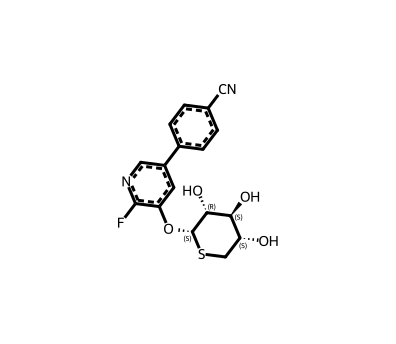 N#Cc1ccc(-c2cnc(F)c(O[C@H]3SC[C@@H](O)[C@H](O)[C@H]3O)c2)cc1